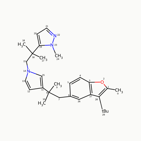 Cc1oc2ccc(CC(C)(C)c3ccn(CC(C)(C)c4ccnn4C)c3)cc2c1C(C)(C)C